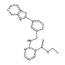 CCOC(=O)c1cccnc1NCc1cccc(-c2cn3ccccc3n2)c1